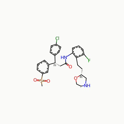 CS(=O)(=O)c1cccc([C@@H](CC(=O)Nc2cccc(F)c2CC[C@@H]2CN[CH]CO2)c2ccc(Cl)cc2)c1